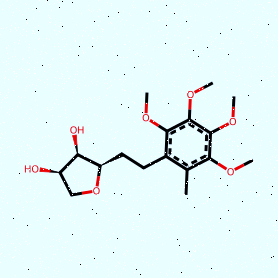 COc1c(C)c(CC[C@H]2OC[C@@H](O)[C@H]2O)c(OC)c(OC)c1OC